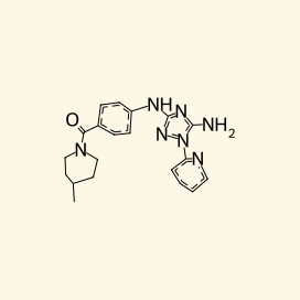 CC1CCN(C(=O)c2ccc(Nc3nc(N)n(-c4ccccn4)n3)cc2)CC1